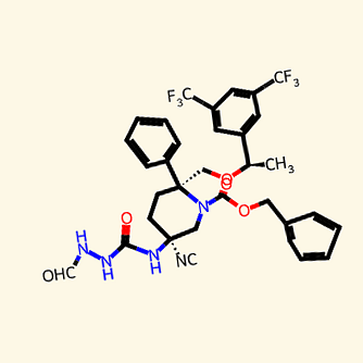 [C-]#[N+][C@]1(NC(=O)NNC=O)CC[C@@](CO[C@H](C)c2cc(C(F)(F)F)cc(C(F)(F)F)c2)(c2ccccc2)N(C(=O)OCc2ccccc2)C1